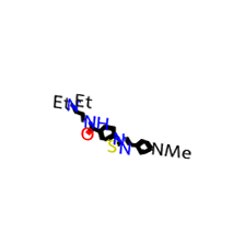 CCN(CC)CCCNC(=O)c1ccc2c(c1)sc1nc(-c3ccc(NC)cc3)cn12